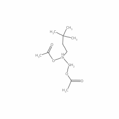 CC(=O)O[SiH2][SiH](CCC(C)(C)C)OC(C)=O